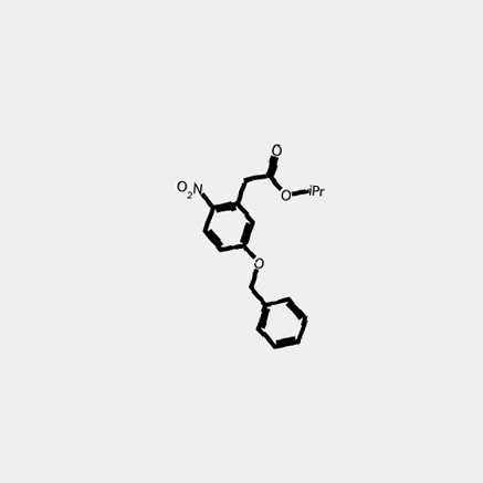 CC(C)OC(=O)Cc1cc(OCc2ccccc2)ccc1[N+](=O)[O-]